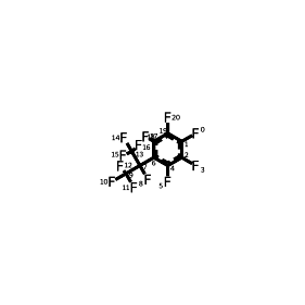 Fc1c(F)c(F)c(C(F)(C(F)(F)F)C(F)(F)F)c(F)c1F